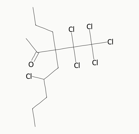 CCCC(Cl)CC(CCC)(C(C)=O)C(Cl)(Cl)C(Cl)(Cl)Cl